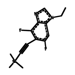 CCn1cnc2c(F)c(C#C[Si](C)(C)C)c(F)cc21